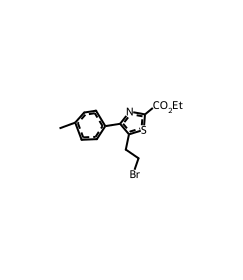 CCOC(=O)c1nc(-c2ccc(C)cc2)c(CCBr)s1